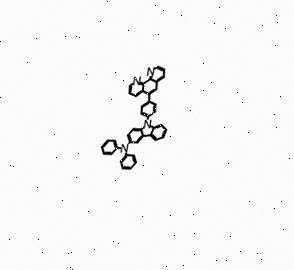 c1ccc(N(c2ccccc2)c2ccc3c(c2)c2ccccc2n3-c2ccc(-c3cc4cccnc4c4ncccc34)cc2)cc1